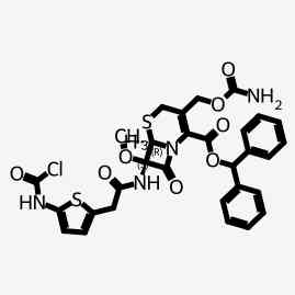 CO[C@@]1(NC(=O)Cc2ccc(NC(=O)Cl)s2)C(=O)N2C(C(=O)OC(c3ccccc3)c3ccccc3)=C(COC(N)=O)CS[C@@H]21